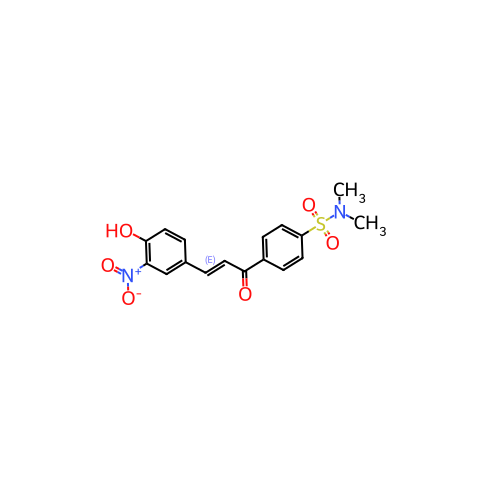 CN(C)S(=O)(=O)c1ccc(C(=O)/C=C/c2ccc(O)c([N+](=O)[O-])c2)cc1